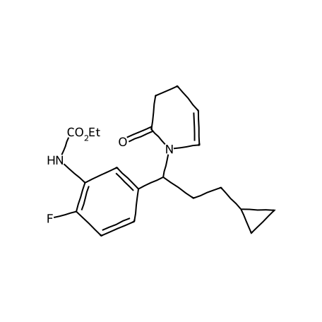 CCOC(=O)Nc1cc(C(CCC2CC2)N2C=CCCC2=O)ccc1F